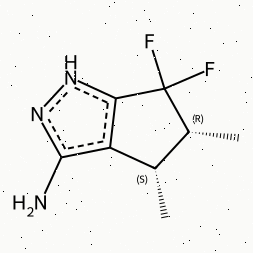 C[C@@H]1c2c(N)n[nH]c2C(F)(F)[C@@H]1C